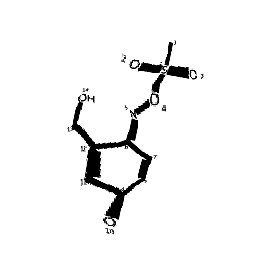 CS(=O)(=O)ON=C1C=CC(=O)C=C1CO